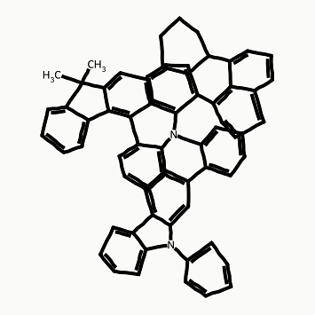 CC1(C)c2ccccc2-c2c(-c3ccccc3N(c3ccccc3-c3ccc4c5ccccc5n(-c5ccccc5)c4c3)c3ccccc3-c3cccc4cccc(C5CCCCC5)c34)cccc21